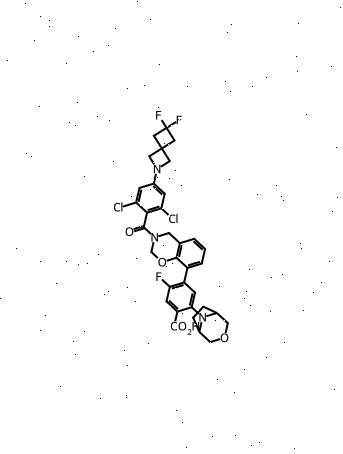 O=C(O)c1cc(F)c(-c2cccc3c2OCN(C(=O)c2c(Cl)cc(N4CC5(C4)CC(F)(F)C5)cc2Cl)C3)cc1N1C2CCC1COC2